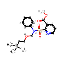 COC(=O)c1cccnc1S(=O)(=O)N(COCC[Si](C)(C)C)c1ccccc1